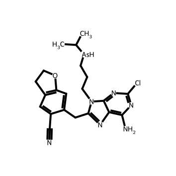 CC(C)[AsH]CCCn1c(Cc2cc3c(cc2C#N)CCO3)nc2c(N)nc(Cl)nc21